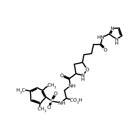 Cc1cc(C)c(S(=O)(=O)NC(CNC(=O)C2CC(CCCC(=O)Nc3ncc[nH]3)ON2)C(=O)O)c(C)c1